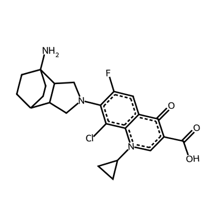 NC12CCC(CC1)C1CN(c3c(F)cc4c(=O)c(C(=O)O)cn(C5CC5)c4c3Cl)CC12